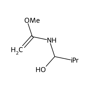 C=C(NC(O)C(C)C)OC